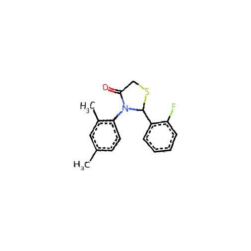 Cc1ccc(N2C(=O)CSC2c2ccccc2F)c(C)c1